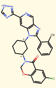 N#Cc1ccccc1-c1nc2cnc(-c3nc[nH]n3)cc2n1[C@@H]1CCC[C@H](N2COc3ccc(Cl)cc3C2=O)C1